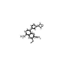 CCc1nc2c(N)ncc(-c3cnn(C4COC4)c3)c2nc1N